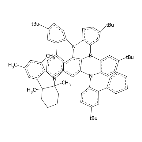 Cc1cc(C)c2c(c1)C1(C)CCCCC1(C)N2c1cc2c3c(c1)N(c1ccc(C(C)(C)C)cc1-c1ccccc1)c1ccc(C(C)(C)C)cc1B3c1cc(C(C)(C)C)ccc1N2c1ccc(C(C)(C)C)cc1-c1ccccc1